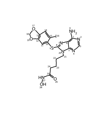 Nc1ncnc2c1nc(Sc1cc3c(cc1I)OCO3)n2CCCCC(=O)NO